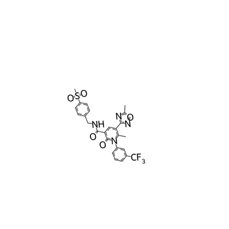 Cc1nc(-c2cc(C(=O)NCc3ccc(S(C)(=O)=O)cc3)c(=O)n(-c3cccc(C(F)(F)F)c3)c2C)no1